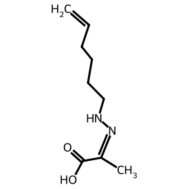 C=CCCCCNN=C(C)C(=O)O